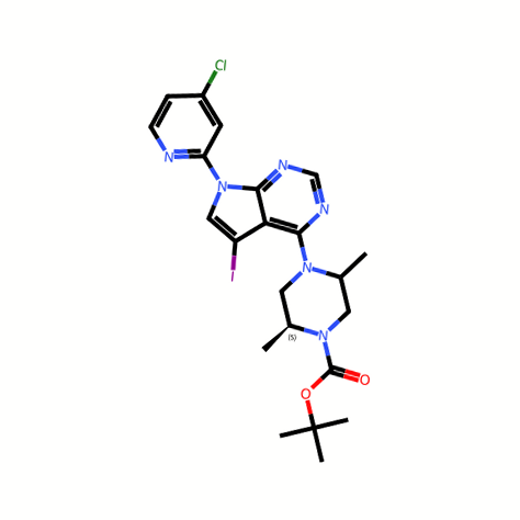 CC1CN(C(=O)OC(C)(C)C)[C@@H](C)CN1c1ncnc2c1c(I)cn2-c1cc(Cl)ccn1